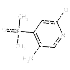 CP(C)(=O)c1cc(Cl)ncc1N